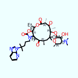 CC[C@H]1OC(=O)[C@H](C)C(=O)[C@H](C)[C@@H](OC2O[C@H](C)C[C@H](N(C)C)[C@H]2O)[C@@](C)(OC)C[C@@H](C)C(=O)[C@H](C)[C@H]2N(CCCC(C)(C)n3cnc4cccnc43)C(=O)O[C@]12CC